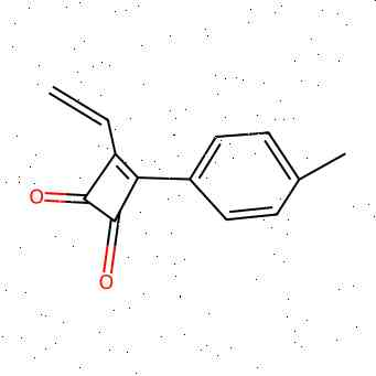 C=Cc1c(-c2ccc(C)cc2)c(=O)c1=O